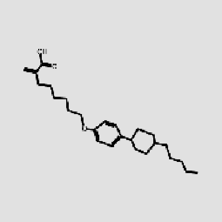 C=C(CCCCCCOc1ccc(C2CCC(CCCCC)CC2)cc1)C(=O)O